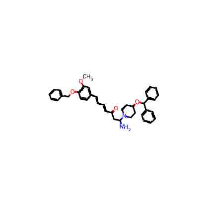 COc1cc(C=CC=CC(=O)CC(N)N2CCC(OC(c3ccccc3)c3ccccc3)CC2)ccc1OCc1ccccc1